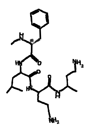 CN[C@H](Cc1ccccc1)C(=O)NC(CC(C)C)C(=O)NC(CCN)C(=O)NC(C)CCN